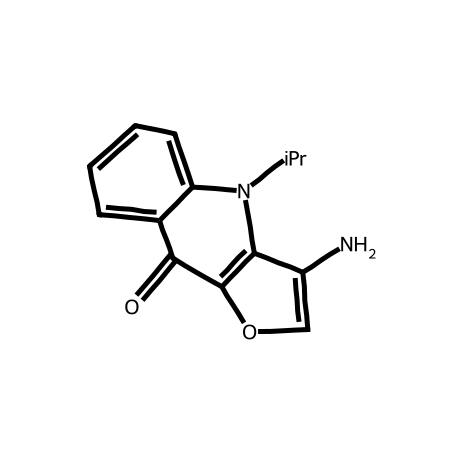 CC(C)n1c2ccccc2c(=O)c2occ(N)c21